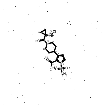 NS(=O)(=O)n1ccc(C2CCN(C(=O)C3(NCl)CC3)CC2)c1C(=O)O